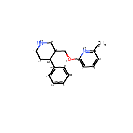 Cc1cccc(OCC2CNCCC2c2ccccc2)n1